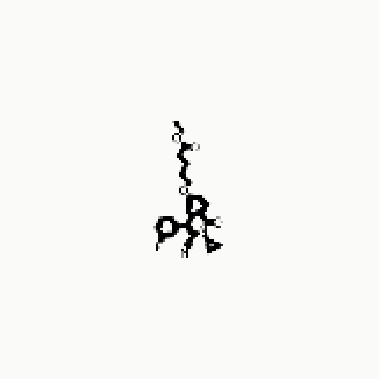 CCOC(=O)CCCCOc1ccc2c(=O)n(C3CC3)c(C#N)c(-c3cccc(F)c3)c2c1